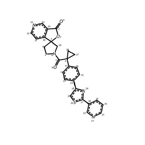 O=C1OC2(CCN(C(=O)C3(c4ccc(-c5csc(-c6cccnc6)n5)cc4)CC3)C2)c2ccncc21